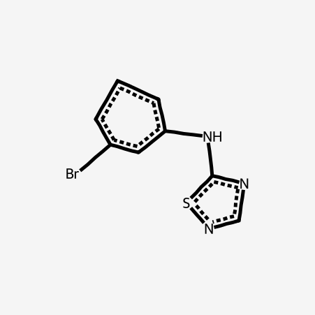 Brc1cccc(Nc2ncns2)c1